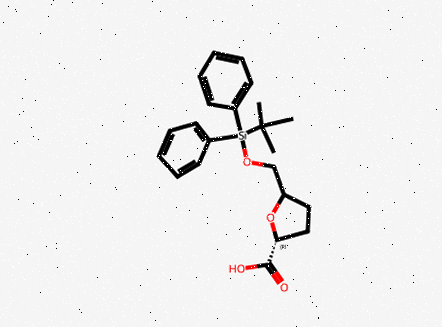 CC(C)(C)[Si](OCC1CC[C@H](C(=O)O)O1)(c1ccccc1)c1ccccc1